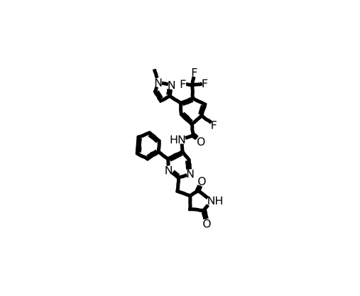 Cn1ccc(-c2cc(C(=O)Nc3cnc(CC4CC(=O)NC4=O)nc3-c3ccccc3)c(F)cc2C(F)(F)F)n1